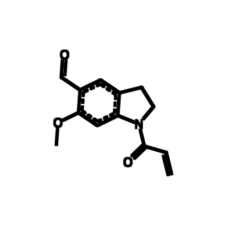 C=CC(=O)N1CCc2cc(C=O)c(OC)cc21